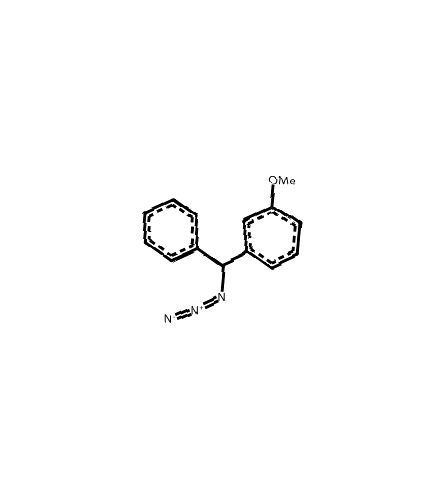 COc1cccc(C(N=[N+]=[N-])c2ccccc2)c1